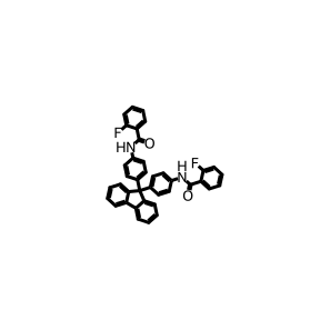 O=C(Nc1ccc(C2(c3ccc(NC(=O)c4ccccc4F)cc3)c3ccccc3-c3ccccc32)cc1)c1ccccc1F